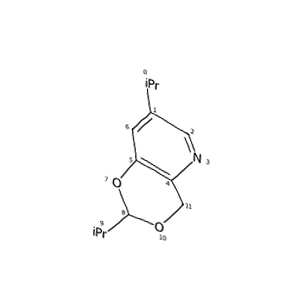 CC(C)c1cnc2c(c1)OC(C(C)C)OC2